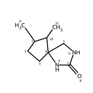 CC1CCC2(CNC(=O)N2)C1C